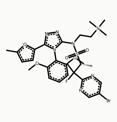 COc1cccc(OC)c1-n1c(-c2ccc(C)o2)nnc1N(CC[Si](C)(C)C)S(=O)(=O)[C@H](C)C(C)(F)c1ncc(Br)cn1